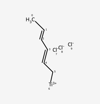 CC=CC=C[CH2][Ti+3].[Cl-].[Cl-].[Cl-]